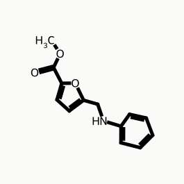 COC(=O)c1ccc(CNc2ccccc2)o1